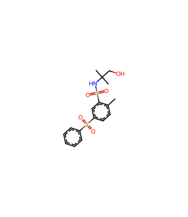 Cc1ccc(S(=O)(=O)c2ccccc2)cc1S(=O)(=O)NC(C)(C)CO